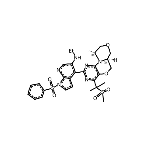 CCNc1cnc2c(ccn2S(=O)(=O)c2ccccc2)c1-c1nc2c(c(C(C)(C)S(C)(=O)=O)n1)OC[C@@H]1COC[C@@H](C)N21